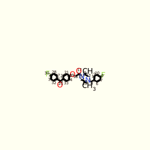 C[C@@H]1CN(Cc2ccc(F)cc2)[C@@H](C)CN1C(=O)COc1ccc(C(=O)c2ccc(F)cc2)cc1